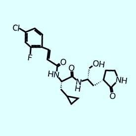 O=C(/C=C/c1ccc(Cl)cc1F)N[C@@H](CC1CC1)C(=O)N[C@H](CO)C[C@@H]1CCNC1=O